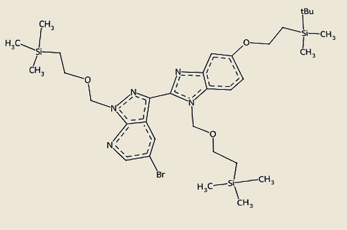 CC(C)(C)[Si](C)(C)CCOc1ccc2c(c1)nc(-c1nn(COCC[Si](C)(C)C)c3ncc(Br)cc13)n2COCC[Si](C)(C)C